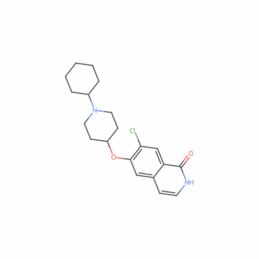 O=c1[nH]ccc2cc(OC3CCN(C4CCCCC4)CC3)c(Cl)cc12